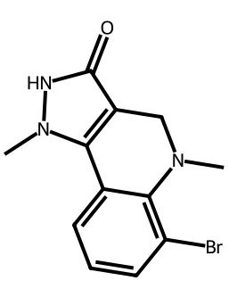 CN1Cc2c(n(C)[nH]c2=O)-c2cccc(Br)c21